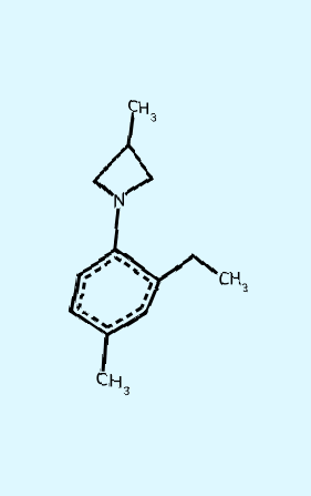 CCc1cc(C)ccc1N1CC(C)C1